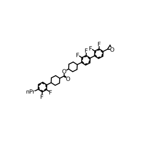 CCCc1ccc(C2CCC(C(=O)OC3CCC(c4ccc(-c5ccc(C6CO6)c(F)c5F)c(F)c4F)CC3)CC2)c(F)c1F